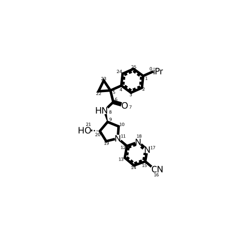 CC(C)c1ccc(C2(C(=O)N[C@H]3CN(c4ccc(C#N)nn4)C[C@@H]3O)CC2)cc1